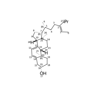 CC=C(CC[C@@H](C)[C@H]1CC[C@H]2C3=CC=C4C[C@@H](O)CC[C@]4(C)[C@H]3CC[C@]12C)C(C)C